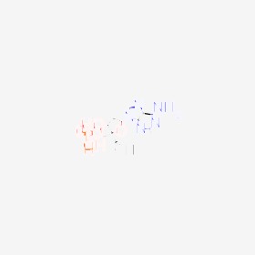 C#C[C@]1(CO[PH](=O)O)O[C@@H](n2cnc3c(N)nc(F)nc32)C[C@H]1O